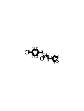 [O-][S+](/C=C/c1ccsc1)Cc1ccc(Cl)cc1